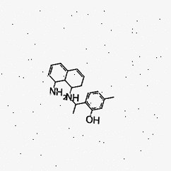 Cc1ccc(C(C)NC2CC=CC3=CC=CC(N)C32)c(O)c1